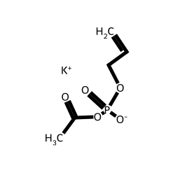 C=CCOP(=O)([O-])OC(C)=O.[K+]